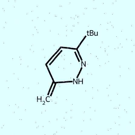 C=C1C=CC(C(C)(C)C)=NN1